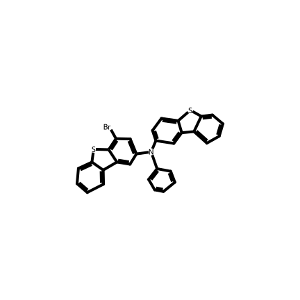 Brc1cc(N(c2ccccc2)c2ccc3sc4ccccc4c3c2)cc2c1sc1ccccc12